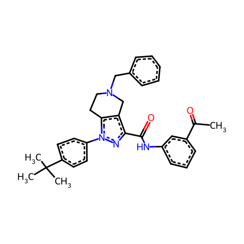 CC(=O)c1cccc(NC(=O)c2nn(-c3ccc(C(C)(C)C)cc3)c3c2CN(Cc2ccccc2)CC3)c1